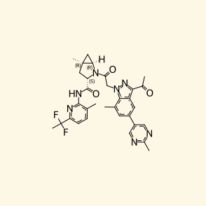 CC(=O)c1nn(CC(=O)N2[C@H](C(=O)Nc3nc(C(C)(F)F)ccc3C)C[C@@]3(C)C[C@@H]23)c2c(C)cc(-c3cnc(C)nc3)cc12